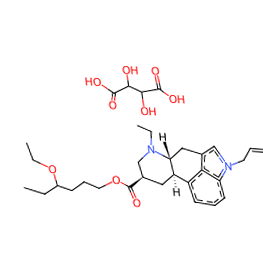 C=CCn1cc2c3c(cccc31)[C@H]1C[C@@H](C(=O)OCCCC(CC)OCC)CN(CC)[C@@H]1C2.O=C(O)C(O)C(O)C(=O)O